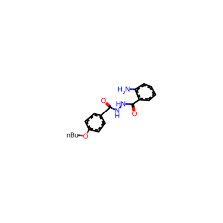 CCCCOc1ccc(C(=O)NNC(=O)c2ccccc2N)cc1